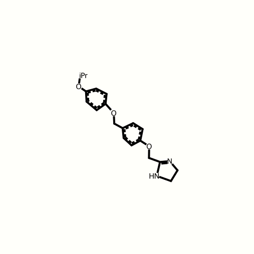 CC(C)Oc1ccc(OCc2ccc(OCC3=NCCN3)cc2)cc1